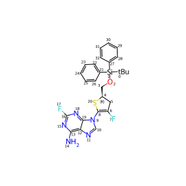 CC(C)(C)[Si](OC[C@H]1CC(F)=C(n2cnc3c(N)nc(F)nc32)S1)(c1ccccc1)c1ccccc1